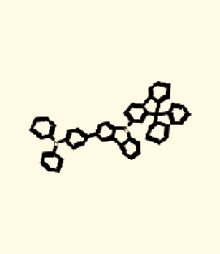 c1ccc(N(c2ccccc2)c2ccc(-c3ccc4c(c3)c3ccccc3n4-c3ccc4c(c3)C(c3ccccc3)(c3ccccc3)c3ccccc3-4)cc2)cc1